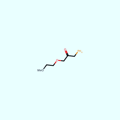 COCCOCC(=O)C[PH4]